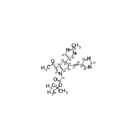 CC(=O)c1cn(CC(=O)OC(C)(C)C)c2cc(C#Cc3cncnc3)c(-c3cnc(C)nc3)cc12